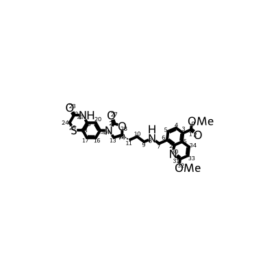 COC(=O)c1ccc(CNCCC[C@@H]2CN(c3ccc4c(c3)NC(=O)CS4)C(=O)O2)c2nc(OC)ccc12